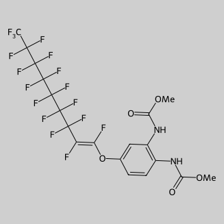 COC(=O)Nc1ccc(OC(F)=C(F)C(F)(F)C(F)(F)C(F)(F)C(F)(F)C(F)(F)C(F)(F)C(F)(F)F)cc1NC(=O)OC